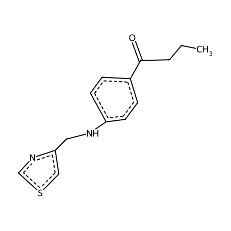 CCCC(=O)c1ccc(NCc2cscn2)cc1